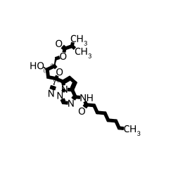 CCCCCCCC(=O)Nc1ncnn2c([C@@]3(C#N)C[C@H](O)[C@@H](COC(=O)C(C)C)O3)ccc12